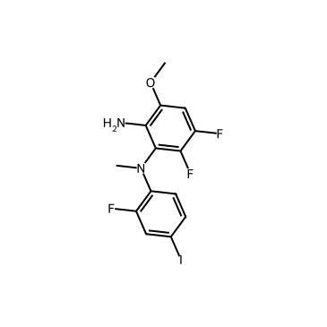 COc1cc(F)c(F)c(N(C)c2ccc(I)cc2F)c1N